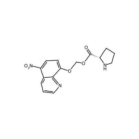 O=C(OCOc1ccc([N+](=O)[O-])c2cccnc12)[C@@H]1CCCN1